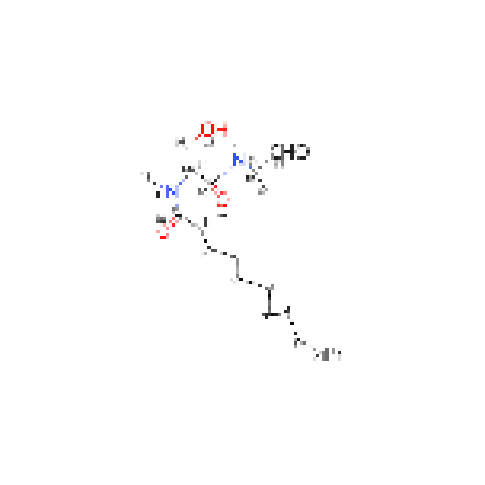 CC(C)CCCCCCCCC(=O)N(C)[C@H](CO)C(=O)[N][C@@H](C)C=O